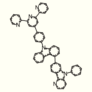 c1ccc(-n2c3cc(-c4cccc5c4c4ccccc4n5-c4ccc(-c5cc(-c6ccccn6)nc(-c6ccccn6)c5)cc4)ccc3c3ncccc32)cc1